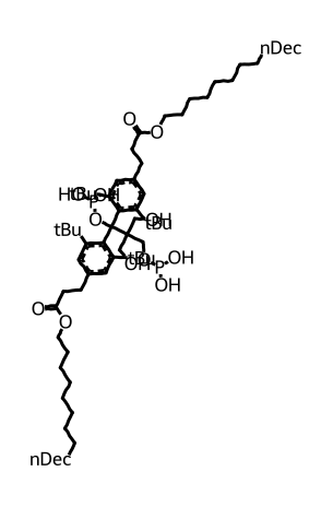 CCCCCCCCCCCCCCCCCCOC(=O)CCc1cc(C(C)(C)C)c(C(OP(O)O)(c2c(C(C)(C)C)cc(CCC(=O)OCCCCCCCCCCCCCCCCCC)cc2C(C)(C)C)C(CO)(CO)COP(O)O)c(C(C)(C)C)c1